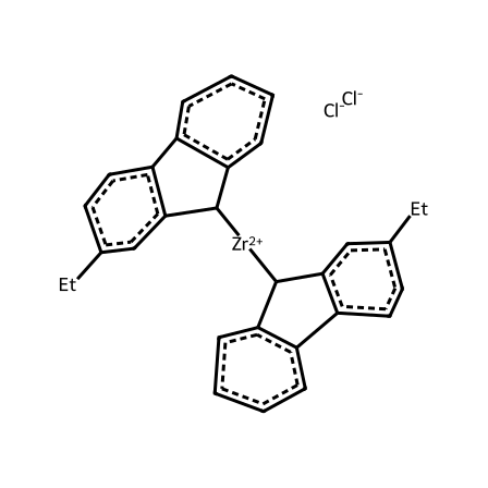 CCc1ccc2c(c1)[CH]([Zr+2][CH]1c3ccccc3-c3ccc(CC)cc31)c1ccccc1-2.[Cl-].[Cl-]